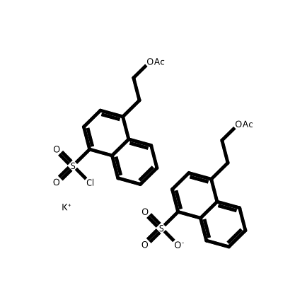 CC(=O)OCCc1ccc(S(=O)(=O)Cl)c2ccccc12.CC(=O)OCCc1ccc(S(=O)(=O)[O-])c2ccccc12.[K+]